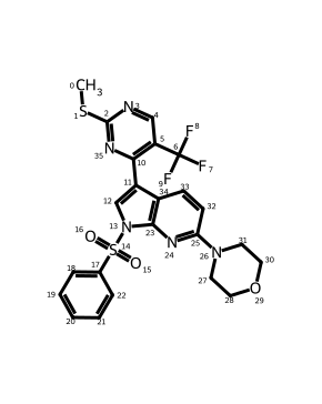 CSc1ncc(C(F)(F)F)c(-c2cn(S(=O)(=O)c3ccccc3)c3nc(N4CCOCC4)ccc23)n1